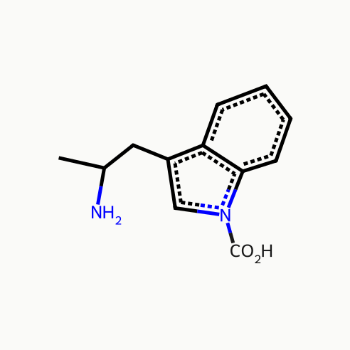 CC(N)Cc1cn(C(=O)O)c2ccccc12